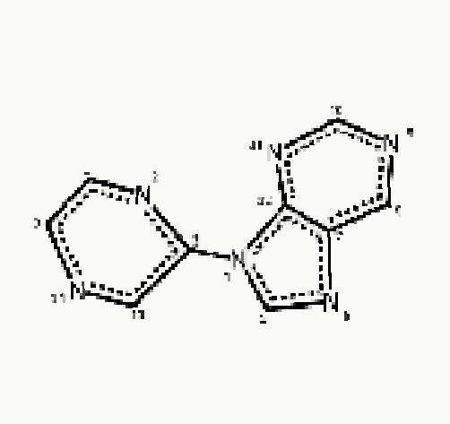 c1cnc(-n2cnc3cncnc32)cn1